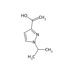 C=C(O)c1ccn(C(C)C)n1